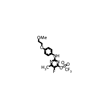 COCCOc1ccc(Nc2nc(C)c(F)c(OS(=O)(=O)C(F)(F)F)n2)cc1